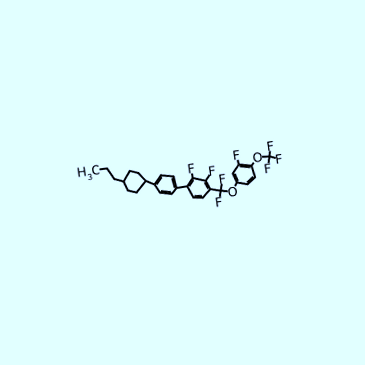 CCCC1CCC(c2ccc(-c3ccc(C(F)(F)Oc4ccc(OC(F)(F)F)c(F)c4)c(F)c3F)cc2)CC1